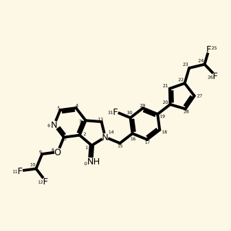 N=C1c2c(ccnc2OCC(F)F)CN1Cc1ccc(C2=CC(CC(F)F)C=C2)cc1F